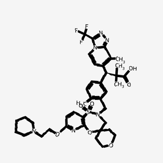 Cc1ccc([C@@H](c2ccn3c(C(F)(F)F)nnc3c2C)C(C)(C)C(=O)O)cc1CN1CC2(CCOCC2)Oc2nc(OCCN3CCCCC3)ccc2S1(=O)=O